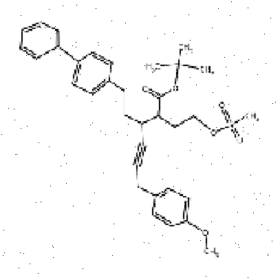 COc1ccc(CC#CC(CCc2ccc(-c3ccccc3)cc2)C(CCOS(C)(=O)=O)C(=O)OC(C)(C)C)cc1